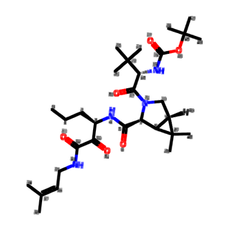 CCC[C@@H](NC(=O)[C@@H]1C2[C@H](CN1C(=O)[C@@H](NC(=O)OC(C)(C)C)C(C)(C)C)C2(C)C)C(=O)C(=O)NCC=C(C)C